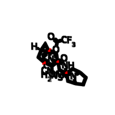 COc1ccccc1NC(=S)N1C2CCC1CC([C@H](N)C(=O)N1[C@H](C#N)C[C@@H]3C[C@]31OC(=O)C(F)(F)F)C2